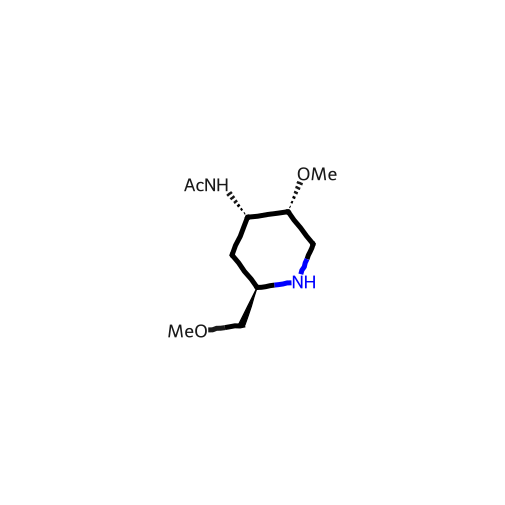 COC[C@H]1C[C@H](NC(C)=O)[C@H](OC)CN1